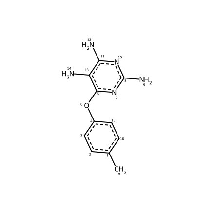 Cc1ccc(Oc2nc(N)nc(N)c2N)cc1